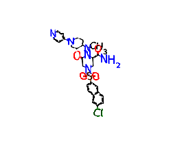 CN(C1CCN(c2ccncc2)CC1)N1C(=O)CN(S(=O)(=O)c2ccc3cc(Cl)ccc3c2)CC1C(N)=O